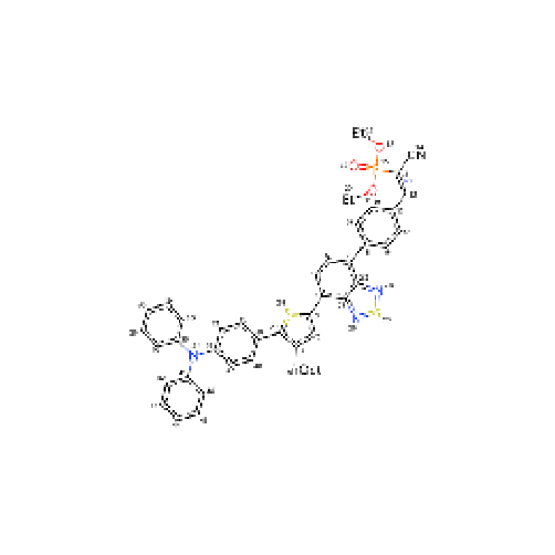 CCCCCCCCc1cc(-c2ccc(-c3ccc(/C=C(/C#N)P(=O)(OCC)OCC)cc3)c3nsnc23)sc1-c1ccc(N(c2ccccc2)c2ccccc2)cc1